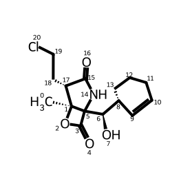 C[C@@]12OC(=O)C1([C@H](O)[C@H]1C=CCCC1)NC(=O)[C@H]2CCCl